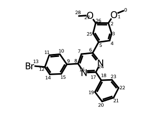 COc1ccc(-c2cc(-c3ccc(Br)cc3)nc(-c3ccccc3)n2)cc1OC